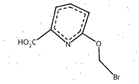 O=C(O)c1cccc(OCBr)n1